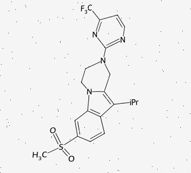 CC(C)c1c2n(c3cc(S(C)(=O)=O)ccc13)CCN(c1nccc(C(F)(F)F)n1)C2